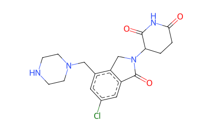 O=C1CCC(N2Cc3c(CN4CCNCC4)cc(Cl)cc3C2=O)C(=O)N1